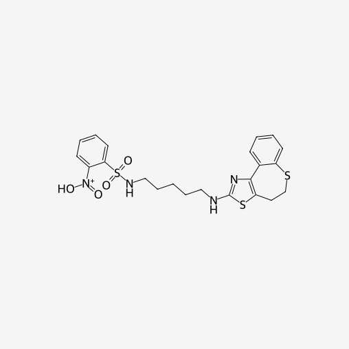 O=[N+](O)c1ccccc1S(=O)(=O)NCCCCCNc1nc2c(s1)CCSc1ccccc1-2